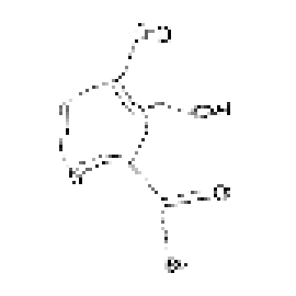 CCC(C)C(=O)c1nccc(C=O)c1O